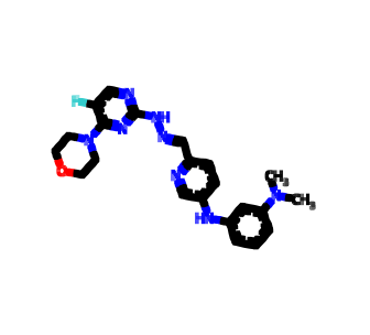 CN(C)c1cccc(Nc2ccc(/C=N/Nc3ncc(F)c(N4CCOCC4)n3)nc2)c1